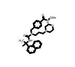 CONC(=O)c1ccc(CN(CCCN2CCOCC2)C(=O)NC(C)(I)c2cccc3ccccc23)cc1